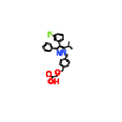 CC(C)c1c(-c2cccc(F)c2)c(-c2ccccc2)nn1CC1CCC(COCC(=O)O)CC1